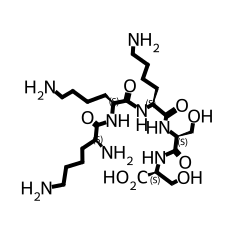 NCCCC[C@H](NC(=O)[C@H](CCCCN)NC(=O)[C@@H](N)CCCCN)C(=O)N[C@@H](CO)C(=O)N[C@@H](CO)C(=O)O